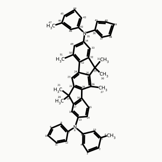 Cc1cccc(N(c2ccccc2)c2ccc3c(c2)C(C)(C)c2cc4c(c(C)c2-3)C(C)(C)c2cc(N(c3ccccc3)c3cccc(C)c3)cc(C)c2-4)c1